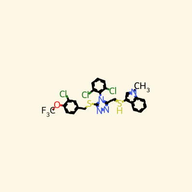 Cn1cc([SH]=Cc2nnc(SCc3ccc(OC(F)(F)F)c(Cl)c3)n2-c2c(Cl)cccc2Cl)c2ccccc21